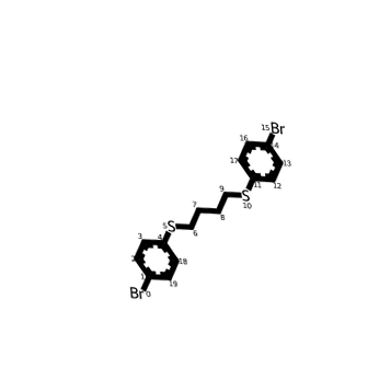 Brc1ccc(SCCCCSc2ccc(Br)cc2)cc1